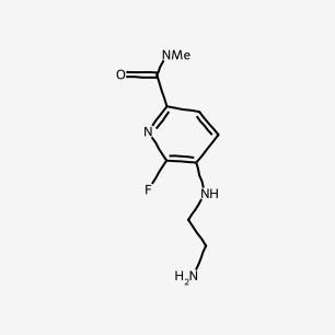 CNC(=O)c1ccc(NCCN)c(F)n1